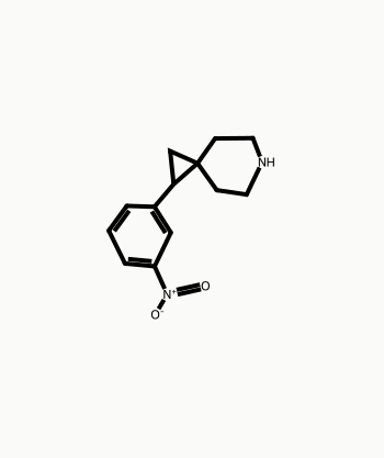 O=[N+]([O-])c1cccc(C2CC23CCNCC3)c1